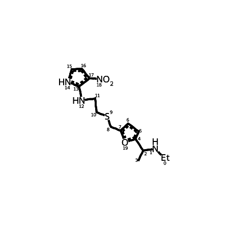 CCNC(C)c1ccc(CSCCNc2[nH]ccc2[N+](=O)[O-])o1